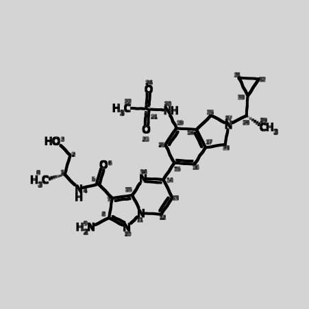 C[C@H](CO)NC(=O)c1c(N)nn2ccc(-c3cc4c(c(NS(C)(=O)=O)c3)CN([C@@H](C)C3CC3)C4)nc12